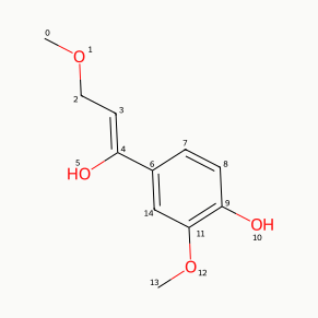 COCC=C(O)c1ccc(O)c(OC)c1